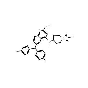 CCS(=O)(=O)N1CCC(Nc2cc(O)nc3ccc(C(c4ccc(Cl)cc4)c4ccc(Cl)cc4)cc23)CC1